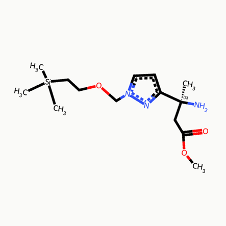 COC(=O)C[C@](C)(N)c1ccn(COCC[Si](C)(C)C)n1